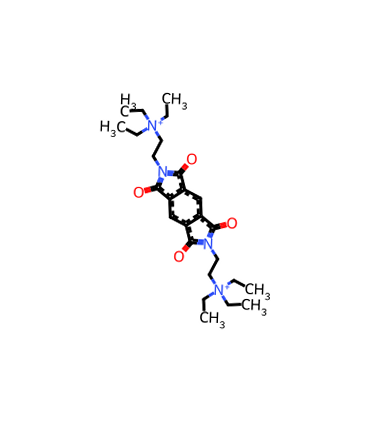 CC[N+](CC)(CC)CCn1c(=O)c2cc3c(=O)n(CC[N+](CC)(CC)CC)c(=O)c3cc2c1=O